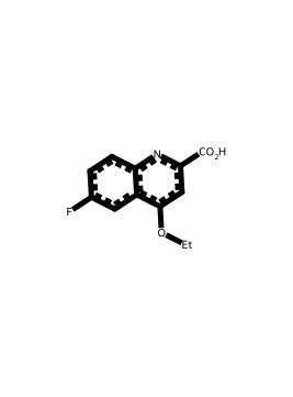 CCOc1cc(C(=O)O)nc2ccc(F)cc12